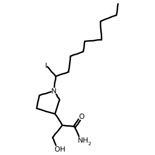 CCCCCCCCC(I)N1CCC(C(CO)C(N)=O)C1